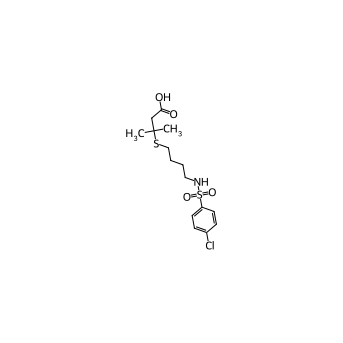 CC(C)(CC(=O)O)SCCCCNS(=O)(=O)c1ccc(Cl)cc1